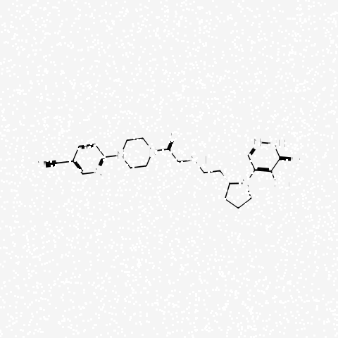 Cc1c(N2CCC[C@H]2CCNCC(=O)N2CCN(c3ccc(C#N)cn3)CC2)cn[nH]c1=O